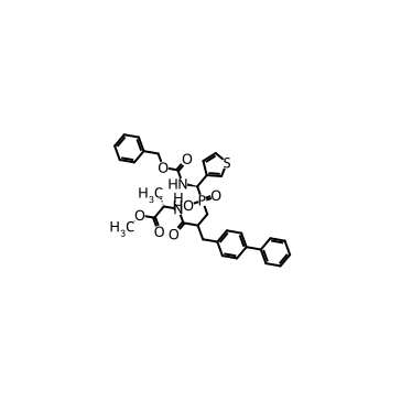 COC(=O)[C@H](C)NC(=O)C(Cc1ccc(-c2ccccc2)cc1)CP(=O)(O)[C@@H](NC(=O)OCc1ccccc1)c1ccsc1